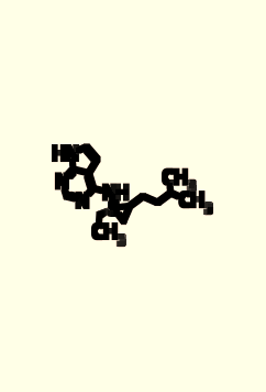 CC[S@]1(Nc2ncnc3[nH]ccc23)CC1CCC(C)C